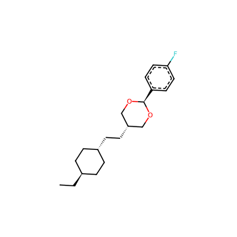 CC[C@H]1CC[C@H](CC[C@H]2CO[C@H](c3ccc(F)cc3)OC2)CC1